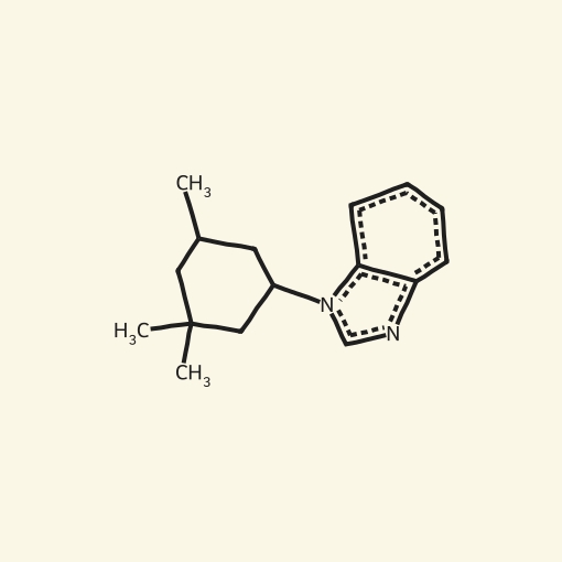 CC1CC(n2cnc3ccccc32)CC(C)(C)C1